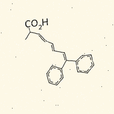 CC(C=CC=CC=C(c1ccccc1)c1ccccc1)C(=O)O